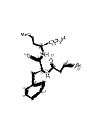 CSCC[C@H](NC(=O)[C@H](Cc1ccccc1)NC(=O)CCC(C)=O)C(=O)O